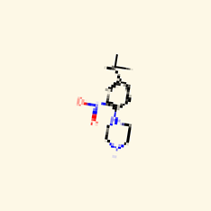 CC(C)(C)c1ccc(N2CCNCC2)c([N+](=O)[O-])c1